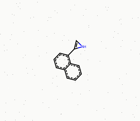 C1=C(c2cccc3ccccc23)N1